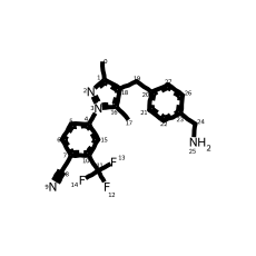 Cc1nn(-c2ccc(C#N)c(C(F)(F)F)c2)c(C)c1Cc1ccc(CN)cc1